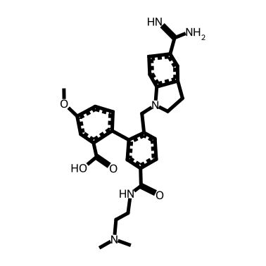 COc1ccc(-c2cc(C(=O)NCCN(C)C)ccc2CN2CCc3cc(C(=N)N)ccc32)c(C(=O)O)c1